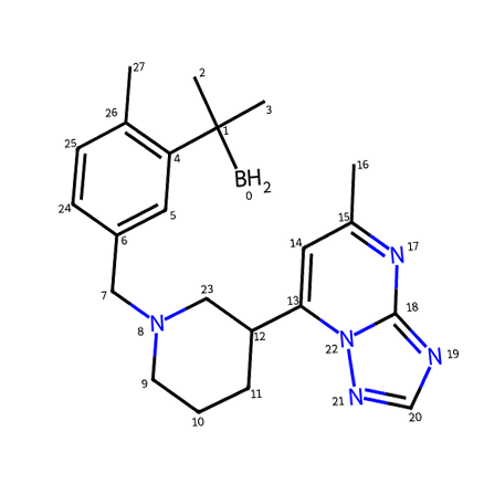 BC(C)(C)c1cc(CN2CCCC(c3cc(C)nc4ncnn34)C2)ccc1C